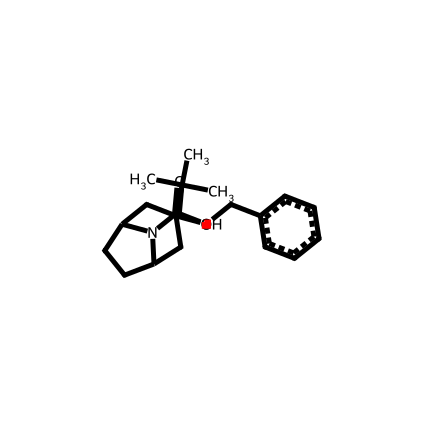 CC(C)(C)C1(O)CC2CCC(C1)N2C(=O)OCc1ccccc1